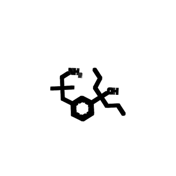 CCCC(O)(CCC)c1cccc(CC(C)(C)CN)c1